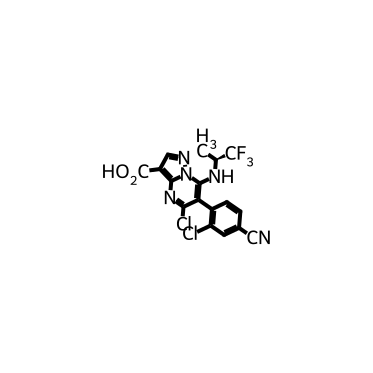 C[C@H](Nc1c(-c2ccc(C#N)cc2Cl)c(Cl)nc2c(C(=O)O)cnn12)C(F)(F)F